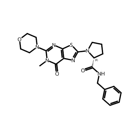 Cn1c(N2CCOCC2)nc2sc(N3CCC[C@@H]3C(=O)NCc3ccccc3)nc2c1=O